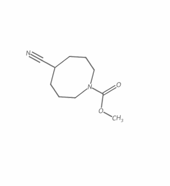 COC(=O)N1CCCC(C#N)CCC1